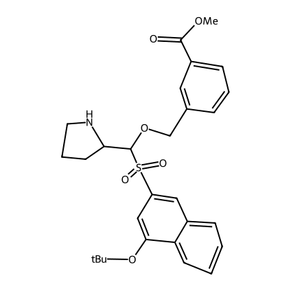 COC(=O)c1cccc(COC(C2CCCN2)S(=O)(=O)c2cc(OC(C)(C)C)c3ccccc3c2)c1